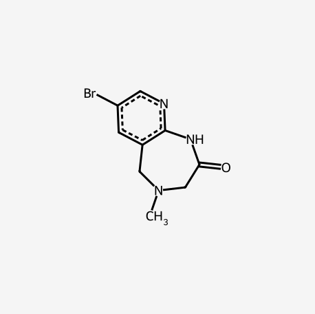 CN1CC(=O)Nc2ncc(Br)cc2C1